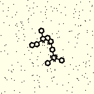 c1ccc(-c2nc(-c3ccccc3)nc(-c3ccc(-c4ccc5ccc6c(-c7ccccc7)cc(-c7ccc8ccccc8c7)nc6c5n4)cc3)n2)cc1